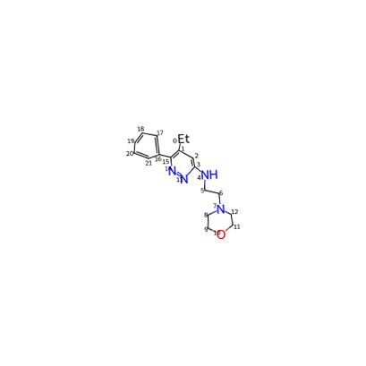 CCc1cc(NCCN2CCOCC2)nnc1-c1ccccc1